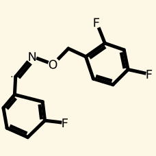 Fc1cccc(/[C]=N\OCc2ccc(F)cc2F)c1